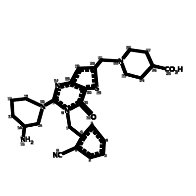 N#Cc1ccccc1Cn1c(N2CCCC(N)C2)nc2cc(CN3CCC(C(=O)O)CC3)sc2c1=O